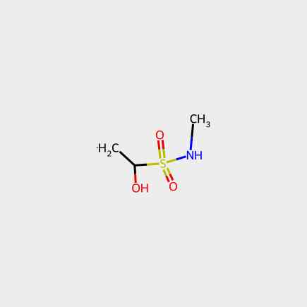 [CH2]C(O)S(=O)(=O)NC